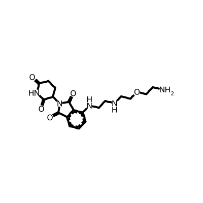 NCCOCCNCCNc1cccc2c1C(=O)N(C1CCC(=O)NC1=O)C2=O